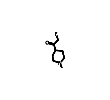 CN1CCC(C(=O)CF)CC1